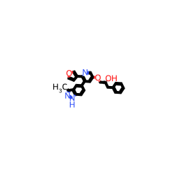 Cc1n[nH]c2ccc(-c3cc(OC[C@@H](O)Cc4ccccc4)cnc3-c3ccoc3)cc12